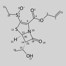 C=CCOC(=O)C1=C([S+]([O-])CC)S[C@@H]2[C@@H](C(C)O)C(=O)N12